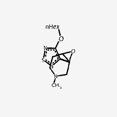 CCCCCCOc1nsnc1C12CN(C)CCC1O2